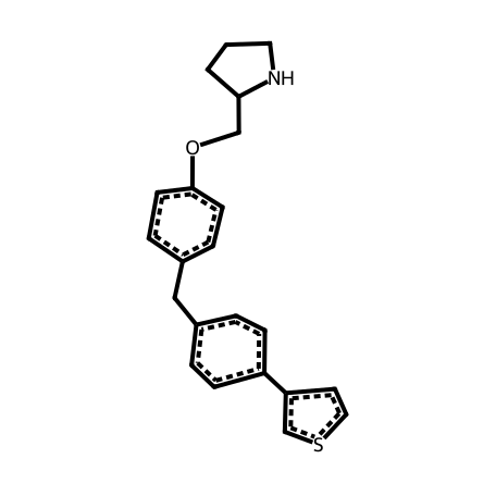 c1cc(-c2ccc(Cc3ccc(OCC4CCCN4)cc3)cc2)cs1